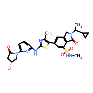 CNS(=O)(=O)c1cc(-c2sc(Nc3cccc(N4C[C@H](O)CC4=O)n3)nc2C)cc2c1C(=O)N(C(C)C1CC1)C2